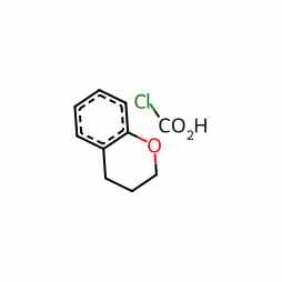 O=C(O)Cl.c1ccc2c(c1)CCCO2